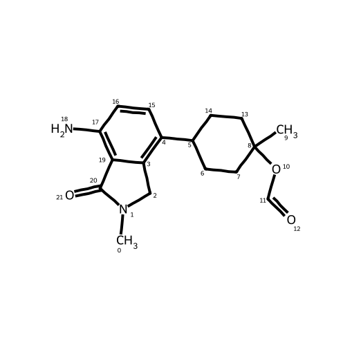 CN1Cc2c(C3CCC(C)(OC=O)CC3)ccc(N)c2C1=O